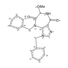 COC1NC(=O)c2ncn(Cc3ccccc3)c2N(Cc2ccccc2)C1=O